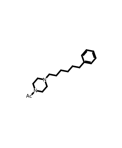 CC(=O)N1CCN(CCCCCCc2ccccc2)CC1